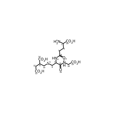 NC(CCC(=O)NC(CSCC(CC(=O)O)C(=O)O)C(=O)NCC(=O)O)C(=O)O